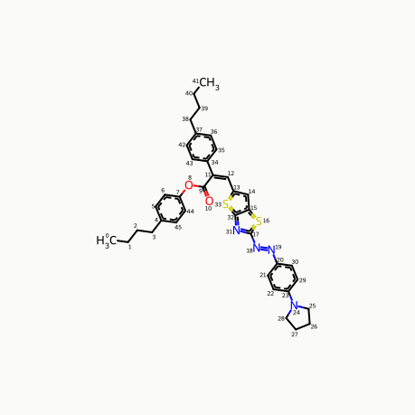 CCCCc1ccc(OC(=O)/C(=C\c2cc3sc(/N=N/c4ccc(N5CCCC5)cc4)nc3s2)c2ccc(CCCC)cc2)cc1